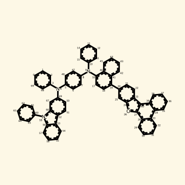 c1ccc(N(c2ccc(N(c3ccccc3)c3ccc(-c4ccc5c(c4)oc4c6ccccc6c6ccccc6c54)c4ccccc34)cc2)c2ccc3c4ccccc4n(-c4ccccc4)c3c2)cc1